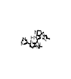 Cc1cn(C2(C)CC=Nc3[nH]c(-c4n[nH]c5ccc(-c6cncnc6)nc45)cc32)cn1